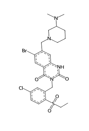 CCS(=O)(=O)c1ccc(Cl)cc1Cn1c(=O)[nH]c2cc(CN3CCCC(N(C)C)C3)c(Br)cc2c1=O